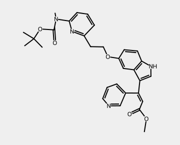 COC(=O)C=C(c1cccnc1)c1c[nH]c2ccc(OCCc3cccc(N(C)C(=O)OC(C)(C)C)n3)cc12